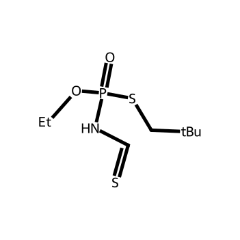 CCOP(=O)(NC=S)SCC(C)(C)C